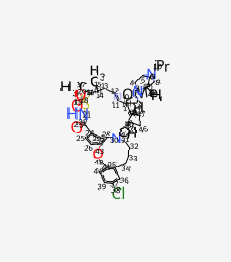 CO[C@]1(CN2CC3C[C@@H]2CN3C(C)C)/C=C/C[C@H](C)[C@@H](C)S(=O)(=O)NC(=O)c2ccc3c(c2)N(CCCCc2cc(Cl)ccc2CO3)C[C@@H]2CC[C@H]21